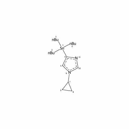 CCC[CH2][Sn]([CH2]CCC)([CH2]CCC)[c]1cn(C2CC2)cn1